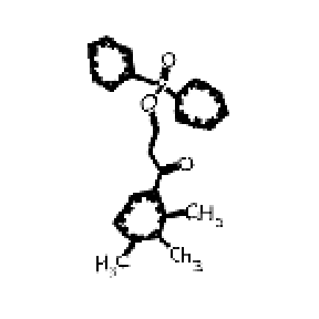 Cc1ccc(C(=O)CCOP(=O)(c2ccccc2)c2ccccc2)c(C)c1C